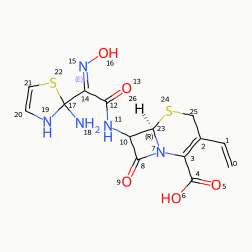 C=CC1=C(C(=O)O)N2C(=O)C(NC(=O)/C(=N\O)C3(N)NC=CS3)[C@H]2SC1